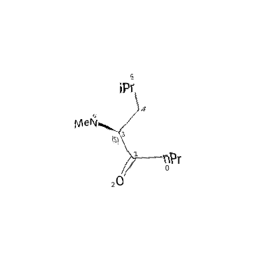 CCCC(=O)[C@H](CC(C)C)NC